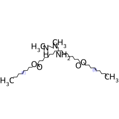 CCCC/C=C/CCCOC(=O)CCCCCCCC(N)(CCCCCCCC(=O)OCCC/C=C/CCCC)CN(C)CCNC